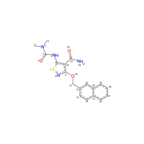 CN(C)C(=O)Nc1snc(OCc2ccc3ccccc3c2)c1C(N)=O